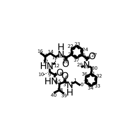 CCNC(=O)[C@@H](NC(=O)[C@H](C)NC[C@H](CC(C)C)NC(=O)c1cccc(C(=O)N(C)Cc2ccccc2)c1)C(C)C